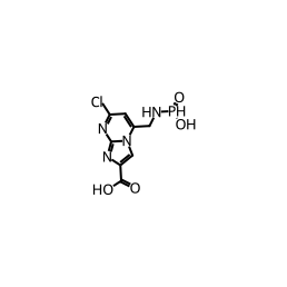 O=C(O)c1cn2c(CN[PH](=O)O)cc(Cl)nc2n1